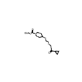 CC(C)(C)OC(=O)N1CCC(OCCOCC(=O)C2CC2)CC1